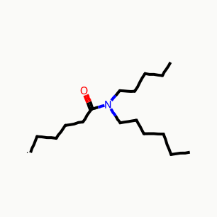 [CH2]CCCCC(=O)N(CCCCC)CCCCCC